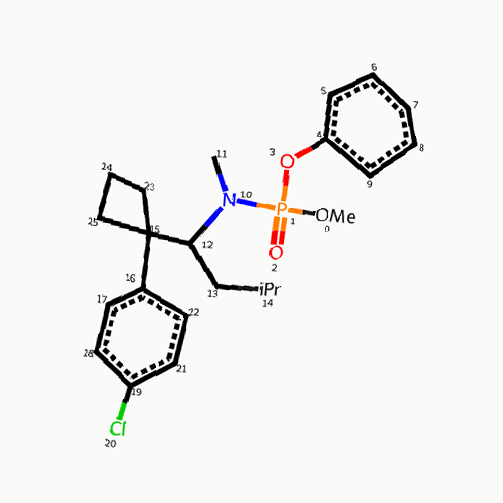 COP(=O)(Oc1ccccc1)N(C)C(CC(C)C)C1(c2ccc(Cl)cc2)CCC1